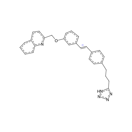 C(=C\c1cccc(OCc2ccc3ccccc3n2)c1)/c1ccc(CCCc2nnn[nH]2)cc1